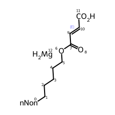 CCCCCCCCCCCCCCOC(=O)/C=C/C(=O)O.[MgH2]